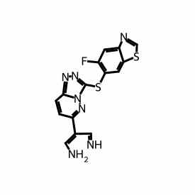 N=C/C(=C\N)c1ccc2nnc(Sc3cc4scnc4cc3F)n2n1